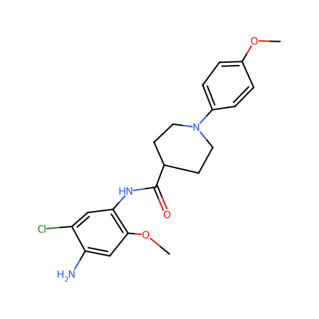 COc1ccc(N2CCC(C(=O)Nc3cc(Cl)c(N)cc3OC)CC2)cc1